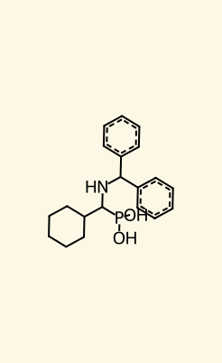 OP(O)C(NC(c1ccccc1)c1ccccc1)C1CCCCC1